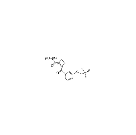 O=C(NO)[C@H]1CCN1C(=O)c1cccc(SCC(F)(F)F)c1